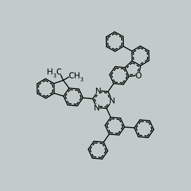 CC1(C)c2ccccc2-c2ccc(-c3nc(-c4cc(-c5ccccc5)cc(-c5ccccc5)c4)nc(-c4ccc5c(c4)oc4cccc(-c6ccccc6)c45)n3)cc21